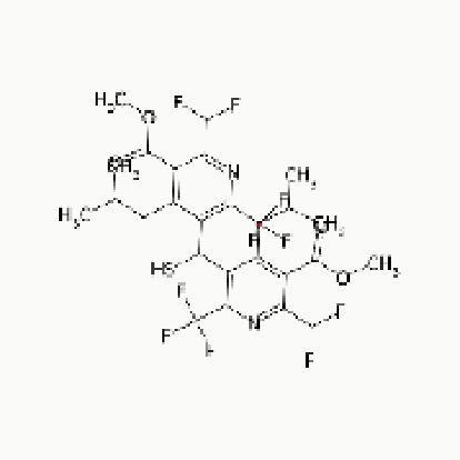 COC(=O)c1c(C(F)F)nc(C(F)(F)F)c(C(S)c2c(C(F)(F)F)nc(C(F)F)c(C(=O)OC)c2CC(C)C)c1CC(C)C